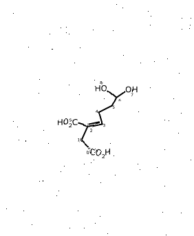 O=C(O)CC(=CCCC(O)O)C(=O)O